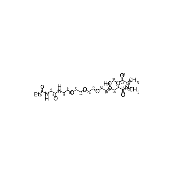 CCC(=O)NCC(=O)NCCOCCOCCOCCOCCC(=O)N(C)C(C)C(=O)OCO